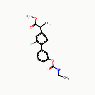 CCNC(=O)Oc1cccc(-c2ccc(C(C)C(=O)OC)cc2F)c1